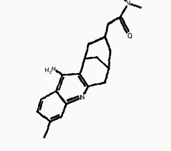 Cc1ccc2c(N)c3c(nc2c1)CC1CC(CC(=O)N(C)C)CC3C1